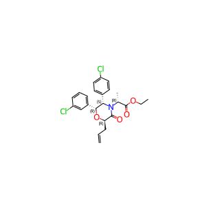 C=CC[C@H]1O[C@H](c2cccc(Cl)c2)[C@H](c2ccc(Cl)cc2)N([C@H](C)C(=O)OCC)C1=O